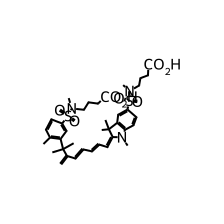 C=C(/C=C/C=C/C=C1/N(C)c2ccc(S(=O)(=O)N(C)CCCC(=O)O)cc2C1(C)C)C(C)(C)c1cc(S(=O)(=O)N(C)CCCC(=O)O)ccc1C